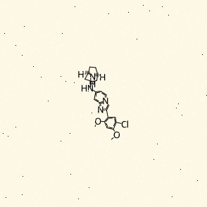 COc1cc(OC)c(-c2cn3ccc(N[C@@H]4C[C@H]5CC[C@@H](C4)N5)cc3n2)cc1Cl